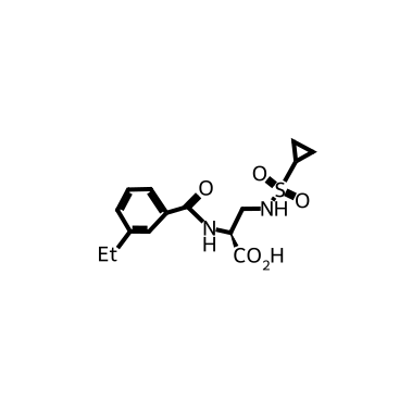 CCc1cccc(C(=O)N[C@@H](CNS(=O)(=O)C2CC2)C(=O)O)c1